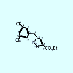 CCOC(=O)c1cn(Cc2cc(Cl)cc(Cl)c2)nn1